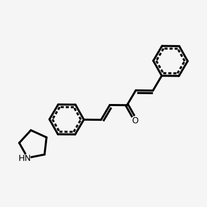 C1CCNC1.O=C(C=Cc1ccccc1)C=Cc1ccccc1